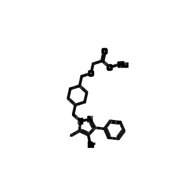 Cc1c(Br)c(-c2ccccc2)nn1CC1CCC(COCC(=O)OC(C)(C)C)CC1